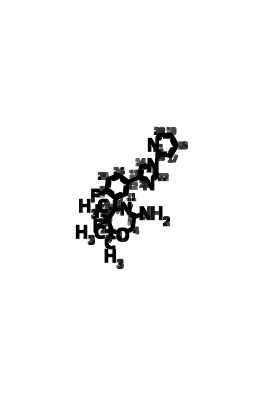 CC1(C)OCC(N)=N[C@](C)(c2cc(-c3cn(-c4ccccn4)cn3)ccc2F)C1(F)F